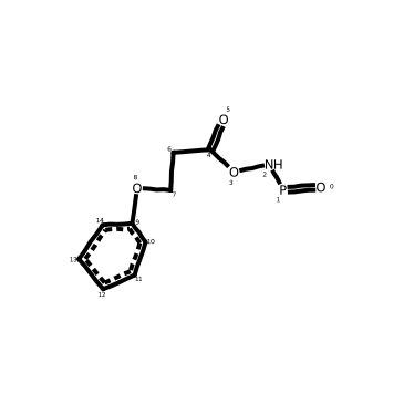 O=PNOC(=O)CCOc1ccccc1